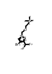 C[Si](C)(C)CCOCn1cc(Br)c(C(F)F)n1